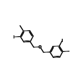 Cc1ccc(COCc2ccc(C)c(I)c2)cc1I